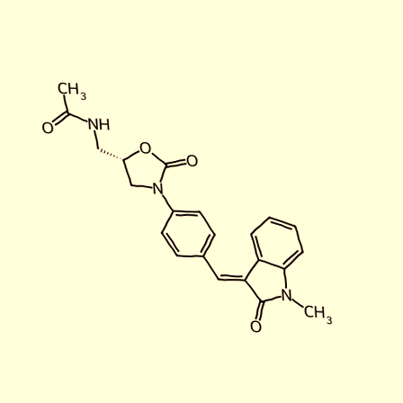 CC(=O)NC[C@H]1CN(c2ccc(/C=C3/C(=O)N(C)c4ccccc43)cc2)C(=O)O1